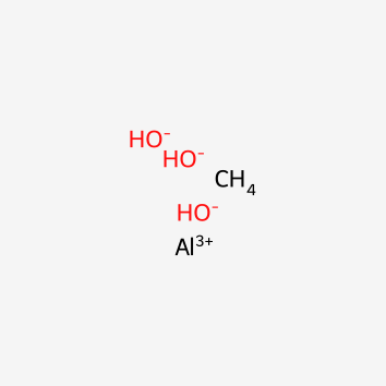 C.[Al+3].[OH-].[OH-].[OH-]